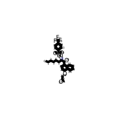 CCCCCC/C(=N\OS(=O)(=O)c1ccc(C(F)(F)F)cc1)C(=O)c1ccc(OCC2CO2)c2ccccc12